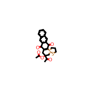 CC(=O)OC1(C(C)=O)CC2=C(C(=O)c3cc4ccccc4cc3C2=O)S2(CCCS2)C1